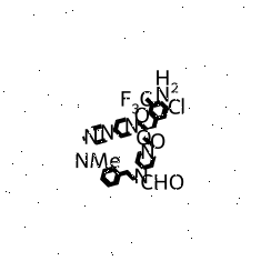 CNc1ccccc1CCN(C=O)C1CCN(C(=O)O[C@H](Cc2cc(Cl)c(N)c(C(F)(F)F)c2)C(=O)N2CCC(N3CCN(C)CC3)CC2)CC1